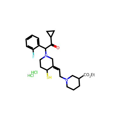 CCOC(=O)C1CCCN(CC=C2CN(C(C(=O)C3CC3)c3ccccc3F)CCC2S)C1.Cl.Cl